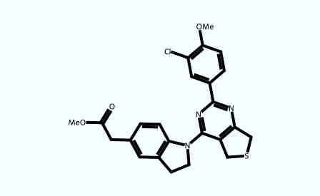 COC(=O)Cc1ccc2c(c1)CCN2c1nc(-c2ccc(OC)c(Cl)c2)nc2c1CSC2